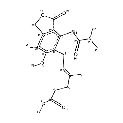 COC(=O)CC/C(C)=C/Cc1c(NC(=O)N(C)C)c2c(c(C)c1OC)COC2=O